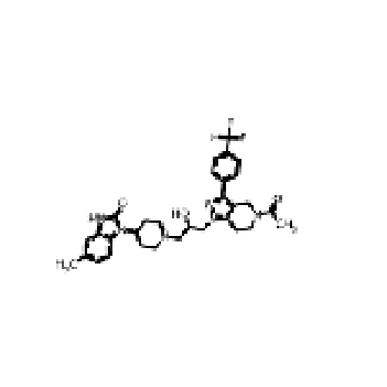 CC(=O)N1CCc2c(c(-c3ccc(C(F)(F)F)cc3)nn2CC(O)CN2CCC(n3c(=O)[nH]c4cc(C)ccc43)CC2)C1